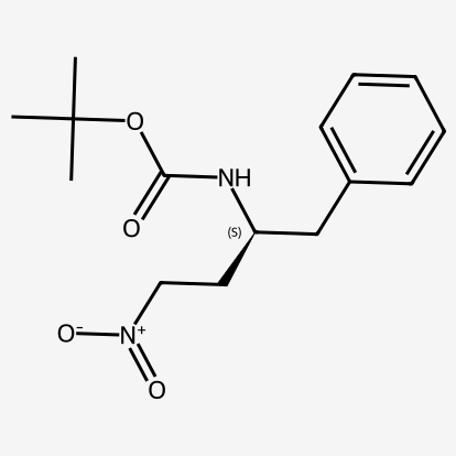 CC(C)(C)OC(=O)N[C@H](CC[N+](=O)[O-])Cc1ccccc1